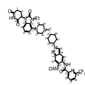 CCn1c(=O)n(C2CCC(=O)NC2=O)c2cccc(N3CCN(C[C@H]4CC[C@H](n5cc6cc(NC(=O)c7cccc(C(F)(F)F)n7)c(OC)cc6n5)CC4)CC3)c21